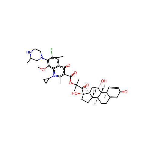 COc1c(N2CCNC(C)C2)c(F)c(C)c2c(=O)c(C(=O)OC(C)(C)C(=O)[C@@]3(O)CC[C@H]4[C@@H]5CCC6=CC(=O)C=C[C@]6(C)[C@H]5[C@@H](O)C[C@@]43C)c(C)n(C3CC3)c12